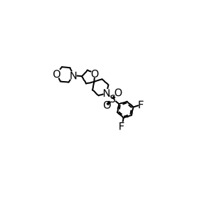 O=S(=O)(c1cc(F)cc(F)c1)N1CCC2(CC1)CC(N1CCOCC1)CO2